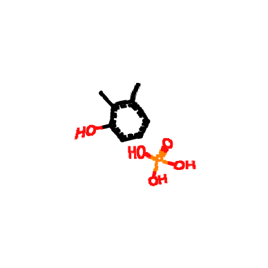 Cc1cccc(O)c1C.O=P(O)(O)O